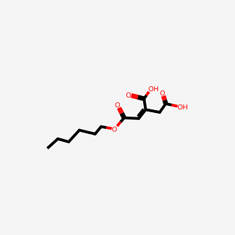 CCCCCCOC(=O)C=C(CC(=O)O)C(=O)O